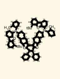 Cc1ccccc1N(c1ccc2cc3c(cc2c1)oc1c(-c2ccccc2)c(-c2ccccc2)c2oc4cc5cc(N(c6ccccc6C)c6cccc7c6oc6c(C(C)(C)C)cccc67)ccc5cc4c2c13)c1cccc2c1oc1c(C(C)(C)C)cccc12